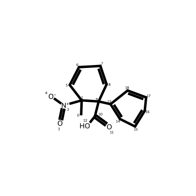 CC1([N+](=O)[O-])C=CC=CC1(C(=O)O)c1ccccc1